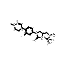 CC(=O)OP(=O)(O)N(CC1CN(c2ccc(N3C=NN(C)CC3)c(F)c2)C(=O)O1)C(C)=O